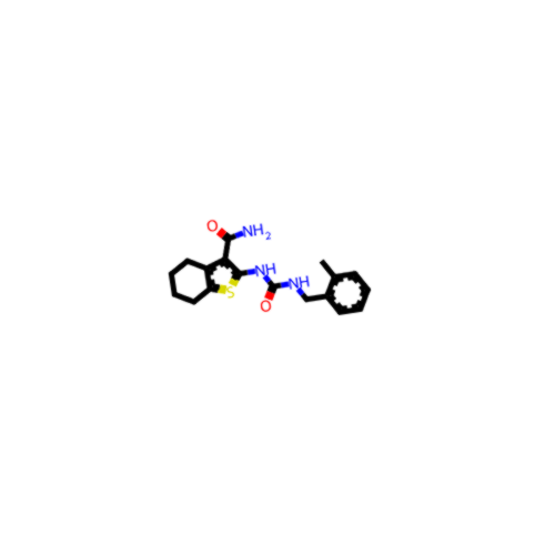 Cc1ccccc1CNC(=O)Nc1sc2c(c1C(N)=O)CCCC2